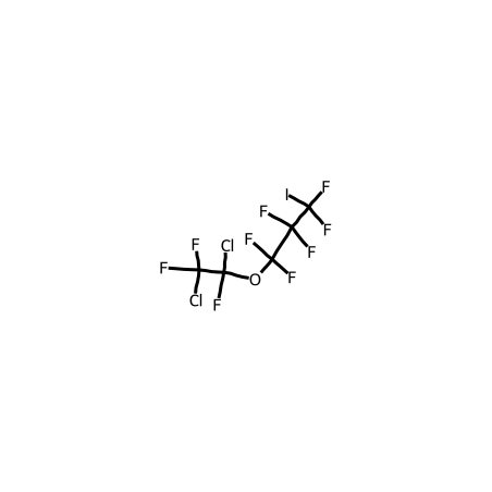 FC(F)(Cl)C(F)(Cl)OC(F)(F)C(F)(F)C(F)(F)I